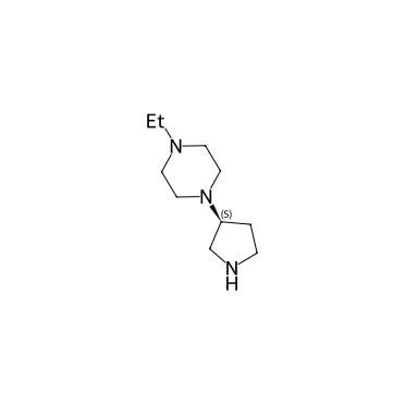 CCN1CCN([C@H]2CCNC2)CC1